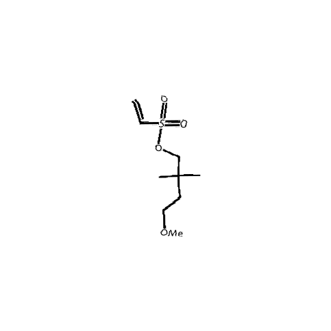 C=CS(=O)(=O)OCC(C)(C)CCOC